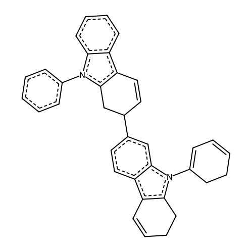 C1=CCCC(n2c3c(c4ccc(C5C=Cc6c(n(-c7ccccc7)c7ccccc67)C5)cc42)C=CCC3)=C1